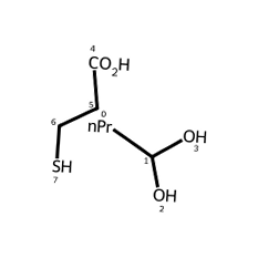 CCCC(O)O.O=C(O)CCS